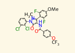 COc1cc(F)c(-c2c(NC(=O)c3ccc(OC(F)(F)F)cc3)c(=O)n(-c3cccc(Cl)c3Cl)n2C)c(F)c1